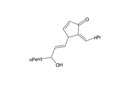 CCC/C=C1\C(=O)C=CC1/C=C/C(O)CCCCC